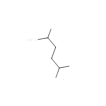 [CH2]CCCCCCCC(C=O)CCC(C=O)CCCCCC